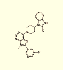 Cn1c(-c2cncc(Br)c2)nc2c(N3CCC(n4c(=O)[nH]c5ccccc54)CC3)ncnc21